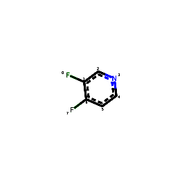 Fc1[c]nccc1F